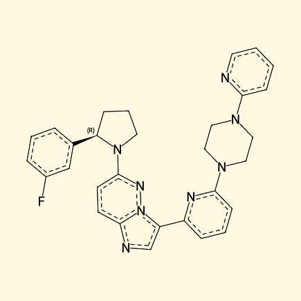 Fc1cccc([C@H]2CCCN2c2ccc3ncc(-c4cccc(N5CCN(c6ccccn6)CC5)n4)n3n2)c1